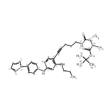 CCCNc1nc(Nc2ccc(-n3nccn3)cc2)ncc1C#CCCCNC(=O)[C@H](C)N(C)C(=O)OC(C)(C)C